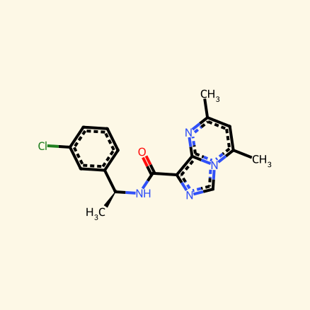 Cc1cc(C)n2cnc(C(=O)N[C@@H](C)c3cccc(Cl)c3)c2n1